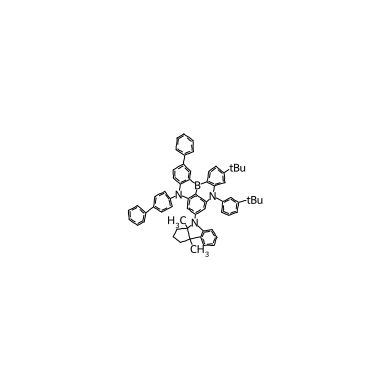 CC(C)(C)c1cccc(N2c3cc(C(C)(C)C)ccc3B3c4cc(-c5ccccc5)ccc4N(c4ccc(-c5ccccc5)cc4)c4cc(N5c6ccccc6C6(C)CCCC56C)cc2c43)c1